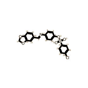 O=S(=O)(Oc1ccc(/N=C/c2ccc3c(c2)OCO3)cc1)c1ccc(Cl)cc1